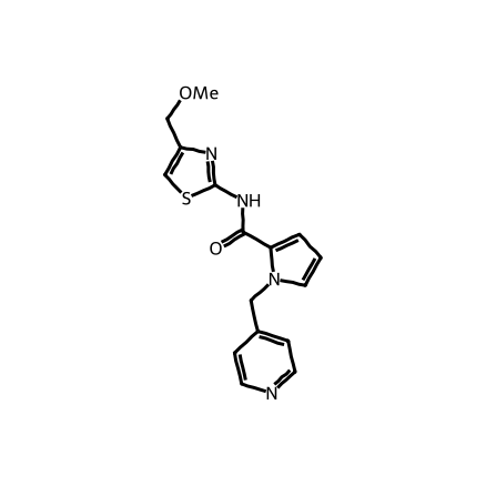 COCc1csc(NC(=O)c2cccn2Cc2ccncc2)n1